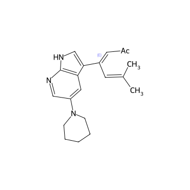 CC(=O)/C=C(\C=C(C)C)c1c[nH]c2ncc(N3CCCCC3)cc12